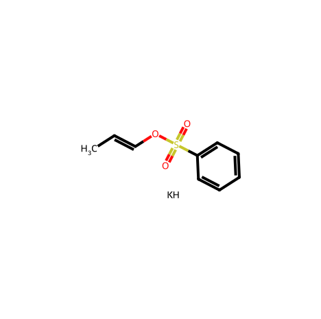 CC=COS(=O)(=O)c1ccccc1.[KH]